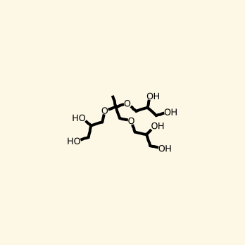 CC(COCC(O)CO)(OCC(O)CO)OCC(O)CO